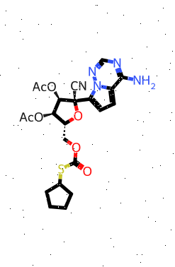 CC(=O)O[C@H]1[C@@H](OC(C)=O)[C@](C#N)(c2ccc3c(N)ncnn23)O[C@@H]1COC(=O)SC1CCCC1